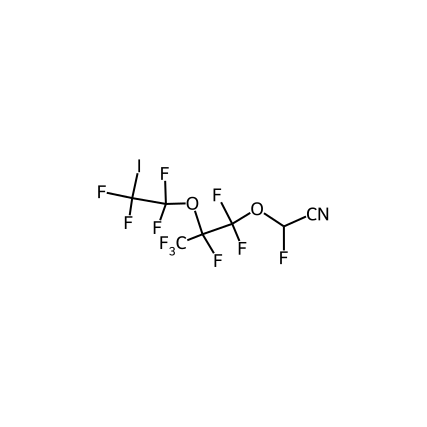 N#CC(F)OC(F)(F)C(F)(OC(F)(F)C(F)(F)I)C(F)(F)F